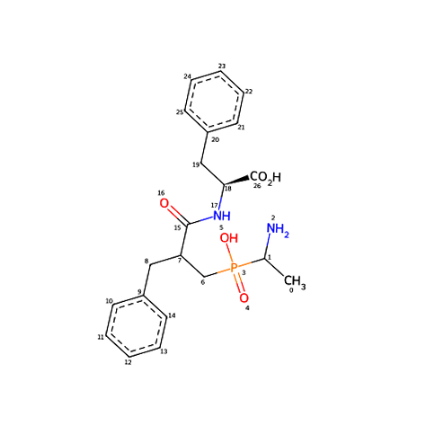 CC(N)P(=O)(O)CC(Cc1ccccc1)C(=O)N[C@@H](Cc1ccccc1)C(=O)O